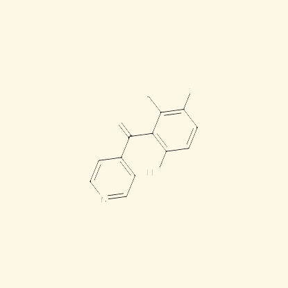 O=C(c1ccncc1)c1c(O)ccc(Cl)c1Cl